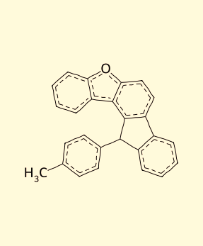 Cc1ccc(C2c3ccccc3-c3ccc4oc5ccccc5c4c32)cc1